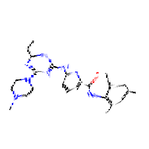 CCc1nc(Nc2cccc(C(=O)Nc3c(C)cc(C)cc3C)n2)nc(N2CCN(C)CC2)n1